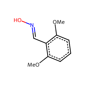 COc1cccc(OC)c1C=NO